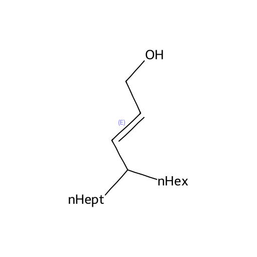 CCCCCCCC(/C=C/CO)CCCCCC